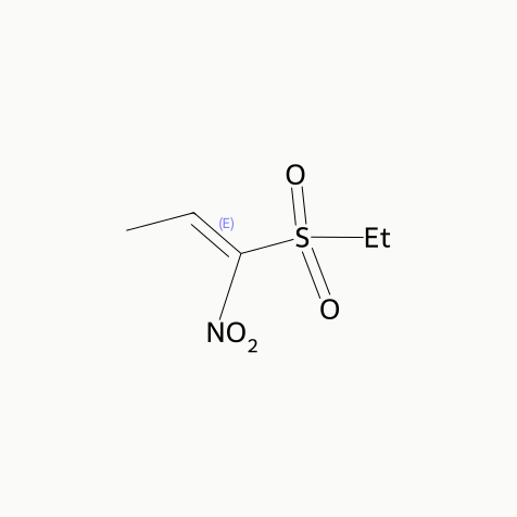 C/C=C(\[N+](=O)[O-])S(=O)(=O)CC